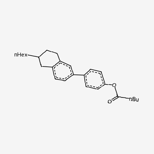 CCCCCCC1CCc2cc(-c3ccc(OC(=O)CCCC)cc3)ccc2C1